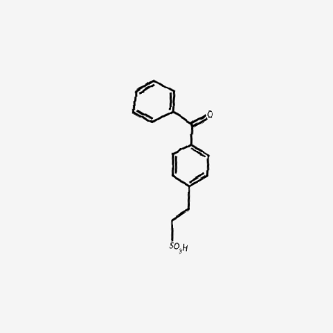 O=C(c1ccccc1)c1ccc(CCS(=O)(=O)O)cc1